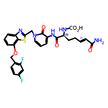 NC(=O)/C=C/CC[C@H](NC(=O)O)C(=O)Nc1cccn(Cc2nc3cccc(OCc4ccc(F)cc4F)c3s2)c1=O